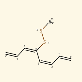 C=C/C=C\C(=C/C=C)SSC(C)C